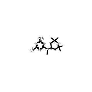 CN(c1nc(N)nc(N)n1)C1CC(C)(C)NC(C)(C)C1